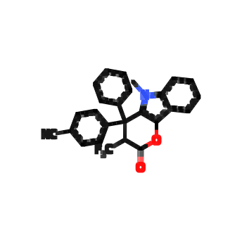 Cn1c2c(c3ccccc31)OC(=O)C(C(F)(F)F)C2(c1ccccc1)c1ccc(C#N)cc1